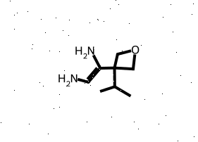 CC(C)C1(/C(N)=C/N)COC1